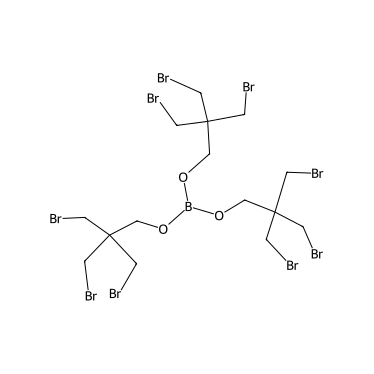 BrCC(CBr)(CBr)COB(OCC(CBr)(CBr)CBr)OCC(CBr)(CBr)CBr